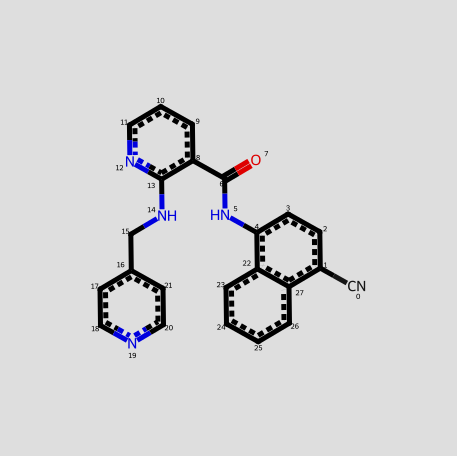 N#Cc1ccc(NC(=O)c2cccnc2NCc2ccncc2)c2ccccc12